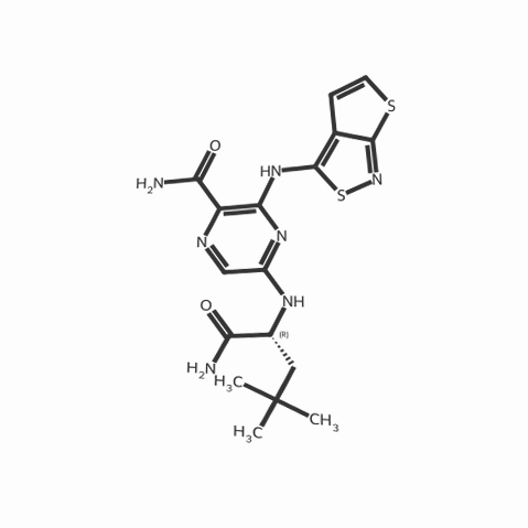 CC(C)(C)C[C@@H](Nc1cnc(C(N)=O)c(Nc2snc3sccc23)n1)C(N)=O